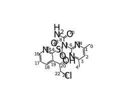 Cc1cc(C)nc(N(C(N)=O)S(=O)(=O)c2ncccc2C(O)CCl)n1